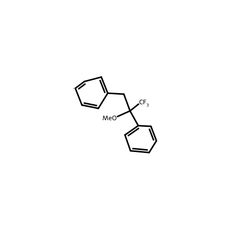 COC(Cc1cc[c]cc1)(c1ccccc1)C(F)(F)F